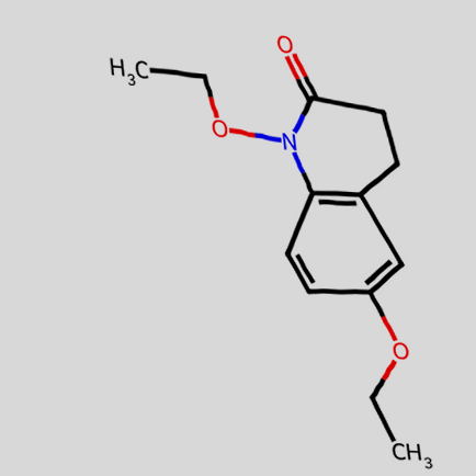 CCOc1ccc2c(c1)CCC(=O)N2OCC